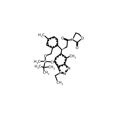 CCn1nnc2c(C)c([C@H](CC(=O)N3CCOC3=O)c3ccc(C)cc3CO[Si](C)(C)C(C)(C)C)ccc21